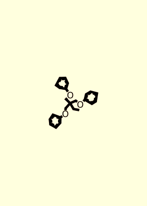 CCC(COc1ccccc1)(COc1ccccc1)COc1ccccc1